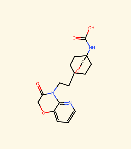 O=C(O)NC12CCC(CCN3C(=O)COc4cccnc43)(CC1)OC2